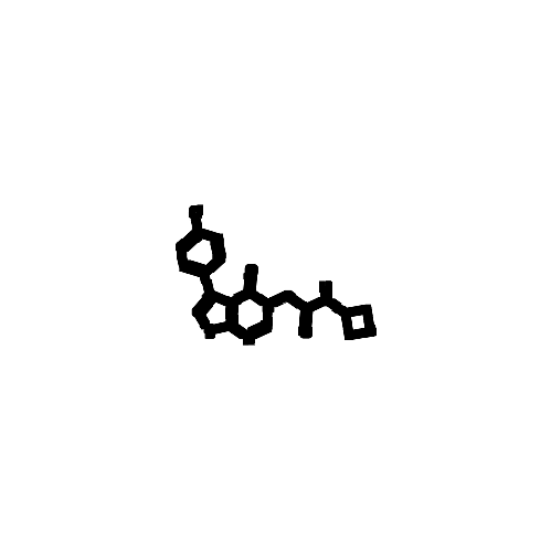 O=C(Cn1cnc2scc(-c3ccc(Cl)cc3)c2c1=O)NC1CCC1